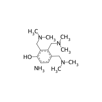 CN(C)Cc1ccc(O)c(CN(C)C)c1CN(C)C.N